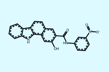 O=C(Nc1cccc([N+](=O)[O-])c1)c1cc2ccc3c4ccccc4[nH]c3c2cc1O